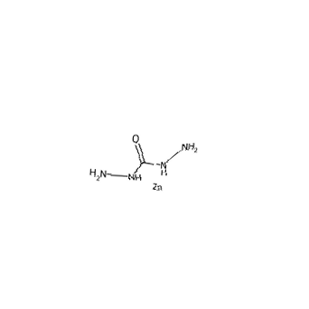 NNC(=O)NN.[Zn]